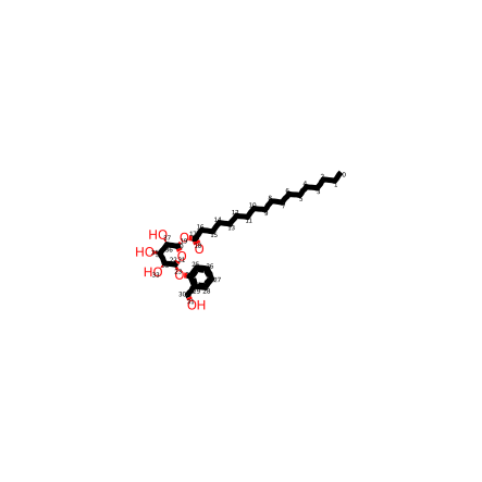 CCCCCCCCCCCCCCCCCC(=O)O[C@H]1O[C@@H](Oc2ccccc2CO)[C@H](O)[C@@H](O)[C@@H]1O